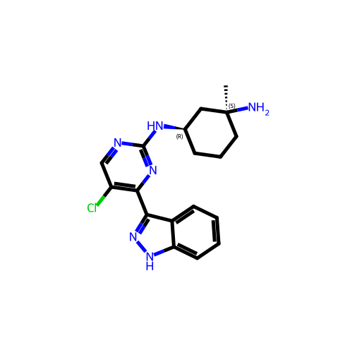 C[C@]1(N)CCC[C@@H](Nc2ncc(Cl)c(-c3n[nH]c4ccccc34)n2)C1